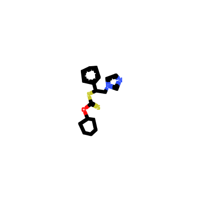 S=C(OC1CCCCC1)SC(Cn1ccnc1)c1ccccc1